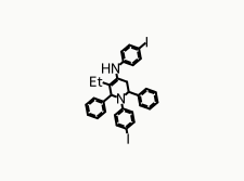 [CH2]CC1=C(Nc2ccc(I)cc2)CC(c2ccccc2)N(c2ccc(I)cc2)C1c1ccccc1